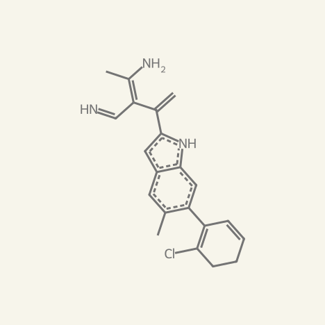 C=C(/C(C=N)=C(/C)N)c1cc2cc(C)c(C3=C(Cl)CCC=C3)cc2[nH]1